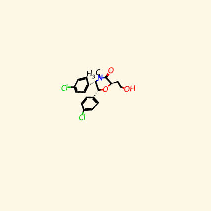 CN1C(=O)[C@@H](CCO)O[C@H](c2ccc(Cl)cc2)[C@@H]1c1ccc(Cl)cc1